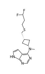 CN(c1ncnc2[nH]ccc12)[C@H]1C[C@@H](CSCCC(F)F)C1